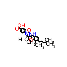 CCc1cc(CC23COC(C)(C)C2=CN(c2ccc(C(=O)O)cc2)C(=O)N3)ccc1CCCC(C)C